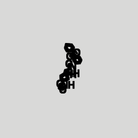 CS(=O)(=O)Nc1ccc2cc(C(=O)Nc3cccc(S(=O)(=O)c4ccccc4)c3)[nH]c2c1